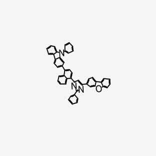 c1ccc(-c2nc(-c3ccc4c(c3)oc3ccccc34)cc(-c3ccc(-c4ccc5c6ccccc6n(-c6ccccc6)c5c4)c4ccccc34)n2)cc1